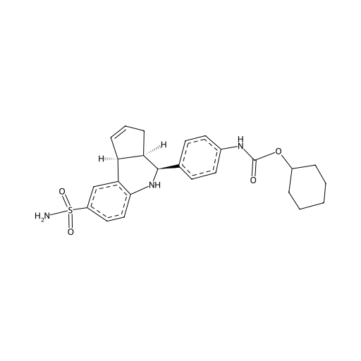 NS(=O)(=O)c1ccc2c(c1)[C@H]1C=CC[C@H]1[C@@H](c1ccc(NC(=O)OC3CCCCC3)cc1)N2